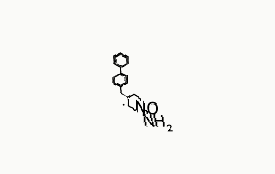 NC(=O)N1C[CH][C@@H](Cc2ccc(-c3ccccc3)cc2)CC1